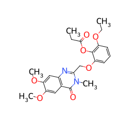 CCOc1cccc(OCc2nc3cc(OC)c(OC)cc3c(=O)n2C)c1OC(=O)CC